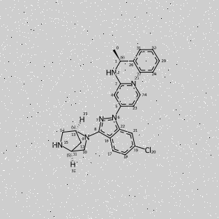 C[C@H](Nc1cc(-n2nc(N3C[C@@H]4C[C@H]3CN4)c3ccc(Cl)cc32)ccn1)c1ccccc1